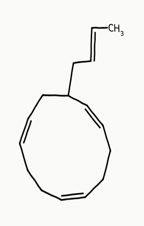 CC=CCC1C=CCCC=CCCC=CC1